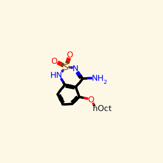 CCCCCCCCOc1cccc2c1C(N)=NS(=O)(=O)N2